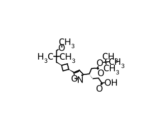 COCC(C)(C)C[C@H]1C[C@@H](c2cc([C@@H](CCC(=O)O)CC(=O)OC(C)(C)C)no2)C1